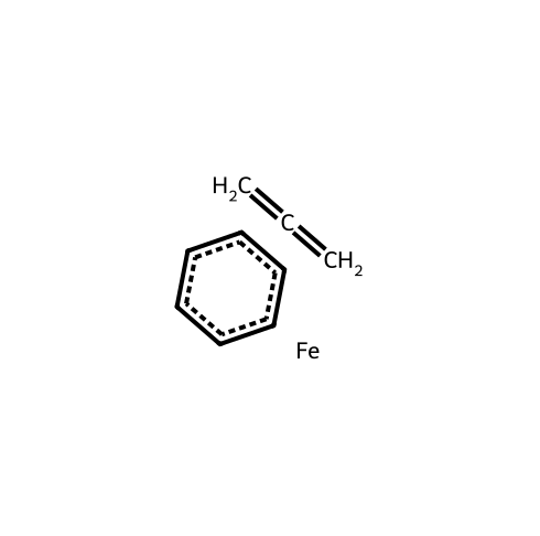 C=C=C.[Fe].c1ccccc1